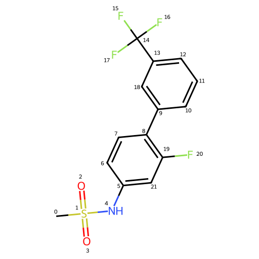 CS(=O)(=O)Nc1ccc(-c2cccc(C(F)(F)F)c2)c(F)c1